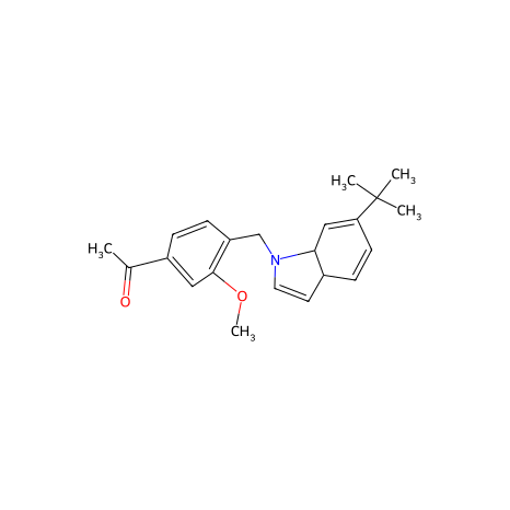 COc1cc(C(C)=O)ccc1CN1C=CC2C=CC(C(C)(C)C)=CC21